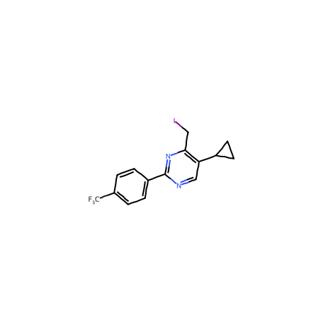 FC(F)(F)c1ccc(-c2ncc(C3CC3)c(CI)n2)cc1